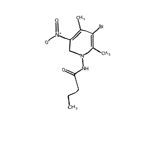 CCCC(=O)NN1CC([N+](=O)[O-])=C(C)C(Br)=C1C